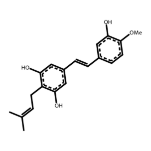 COc1ccc(/C=C/c2cc(O)c(CC=C(C)C)c(O)c2)cc1O